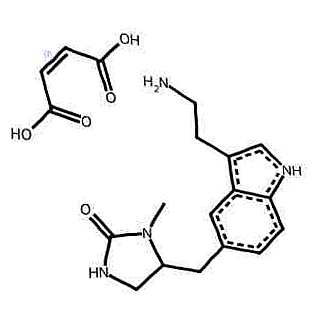 CN1C(=O)NCC1Cc1ccc2[nH]cc(CCN)c2c1.O=C(O)/C=C\C(=O)O